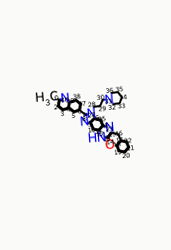 Cc1ccc2cc(-c3nc4cc5[nH]c(=O)c(Cc6ccccc6)nc5cc4n3CCCN3CCCCC3)ccc2n1